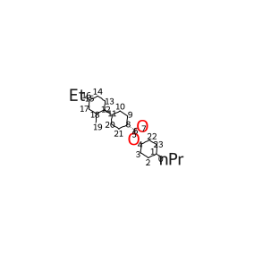 CCC[C@H]1CC[C@H](OC(=O)[C@H]2CC[C@H](C3CCC(CC)CC3C)CC2)CC1